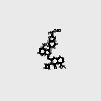 Cc1cccc2cc(Cn3nc(-c4ccc5nc(NC=O)sc5c4)c4c(N)ncnc43)n(C3CCC3)c(=O)c12